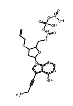 C=CCOC1CC(n2cc(C#CCN)c3c(N)ncnc32)OC1CO[PH](=O)OP(=O)(O)O[PH](=O)O